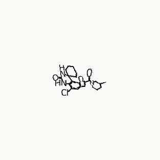 CC1CCCN(C(=O)c2cc3cc(Cl)c4c(c3o2)C2(CCCCC2)NC(=O)N4)C1